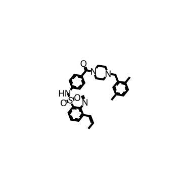 C=Nc1c(/C=C\C)cccc1S(=O)(=O)Nc1ccc(C(=O)N2CCN(Cc3cc(C)ccc3C)CC2)cc1